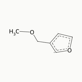 COCc1[c]occ1